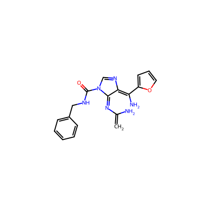 C=C(N)/N=C1\C(=C(/N)c2ccco2)N=CN1C(=O)NCc1ccccc1